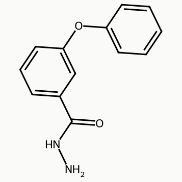 NNC(=O)c1cccc(Oc2ccccc2)c1